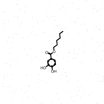 CCCCCCOC(=O)c1ccc(O)c(O)c1